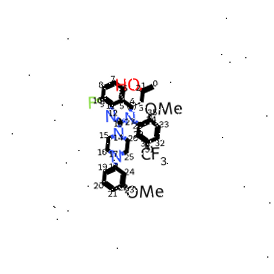 C=C(O)C[C@H]1c2cccc(F)c2N=C(N2CCN(c3cccc(OC)c3)CC2)N1c1cc(C(F)(F)F)ccc1OC